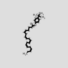 CC/C=C\C/C=C\C/C=C\C/C=C\C/C=C\CCCC(=O)Oc1ccc(C(C)(C)C)cc1